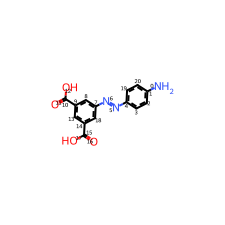 Nc1ccc(N=Nc2cc(C(=O)O)cc(C(=O)O)c2)cc1